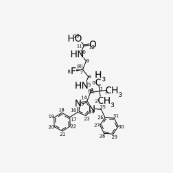 CC(C)(C)[C@@H](NC[C@@H](F)CNC(=O)O)c1nc(-c2ccccc2)cn1Cc1ccccc1